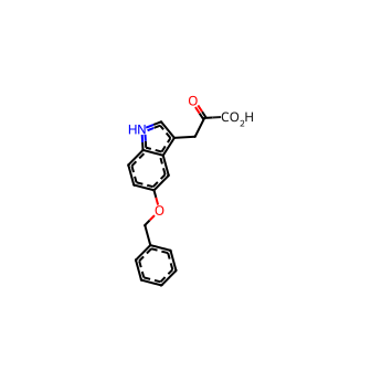 O=C(O)C(=O)Cc1c[nH]c2ccc(OCc3ccccc3)cc12